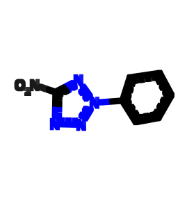 O=[N+]([O-])c1nnn(-c2ccccc2)n1